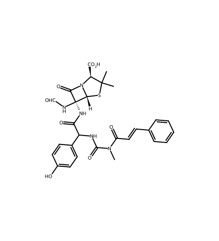 CN(C(=O)/C=C/c1ccccc1)C(=O)NC(C(=O)N[C@]1(NC=O)C(=O)N2[C@@H](C(=O)O)C(C)(C)S[C@@H]21)c1ccc(O)cc1